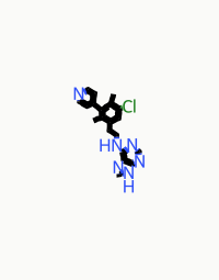 Cc1c(Cl)cc(CCNc2ncnc3[nH]cnc23)c(C)c1-c1ccncc1